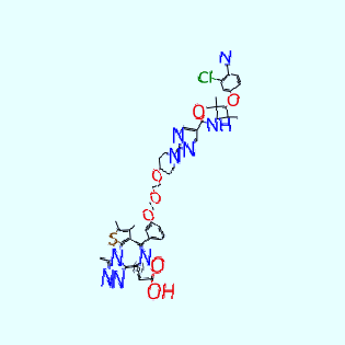 Cc1sc2c(c1C)C(c1cccc(OCCOCCOC3CCN(c4ncc(C(=O)NC5C(C)(C)C(Oc6ccc(C#N)c(Cl)c6)C5(C)C)cn4)CC3)c1)=N[C@@H](CC(=O)O)c1nnc(C)n1-2